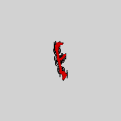 CCN(CC)CCCOC(=O)OCC(COC(=O)CCCCCCCOC(=O)O[C@H]1CC[C@@]2(C)C(=CC[C@H]3[C@@H]4CC[C@H]([C@H](C)CCCC(C)C)[C@@]4(C)CC[C@@H]32)C1)COC(=O)CCCCCCCOC(=O)O[C@H]1CC[C@@]2(C)C(=CC[C@H]3[C@@H]4CC[C@H]([C@H](C)CCCC(C)C)[C@@]4(C)CC[C@@H]32)C1